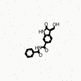 O=C1Nc2cc(C(=O)NC(=O)c3ccccc3)ccc2C1=CO